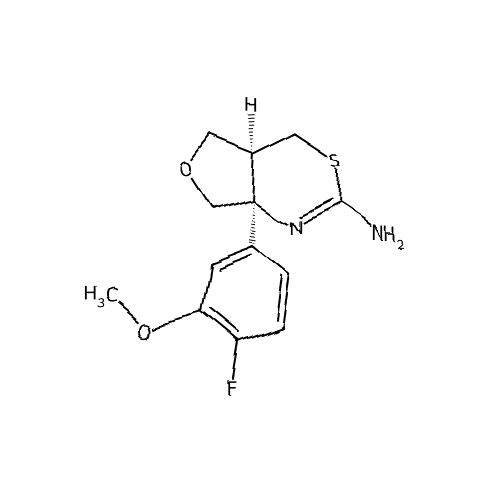 COc1cc([C@]23COC[C@H]2CSC(N)=N3)ccc1F